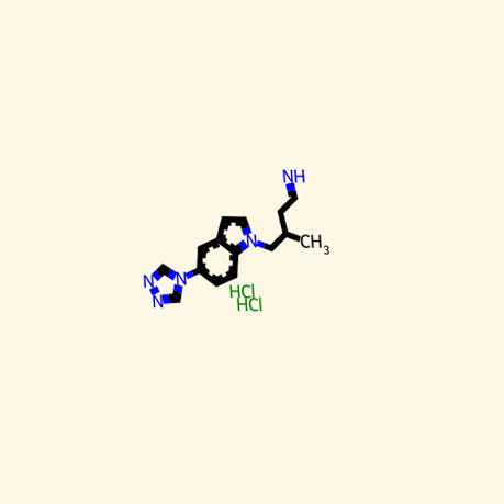 CC(CC=N)Cn1ccc2cc(-n3cnnc3)ccc21.Cl.Cl